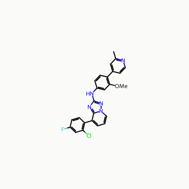 COc1cc(Nc2nc3c(-c4ccc(F)cc4Cl)cccn3n2)ccc1-c1ccnc(C)c1